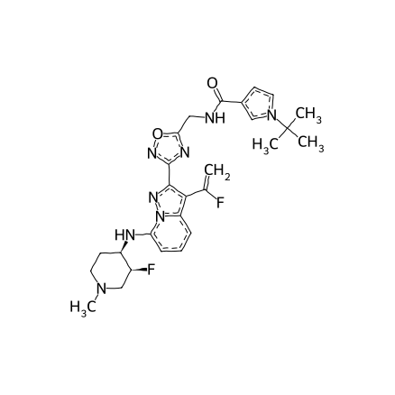 C=C(F)c1c(-c2noc(CNC(=O)c3ccn(C(C)(C)C)c3)n2)nn2c(N[C@@H]3CCN(C)C[C@@H]3F)cccc12